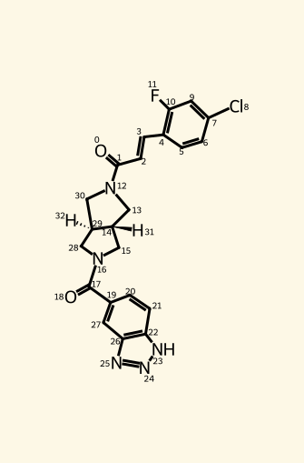 O=C(/C=C/c1ccc(Cl)cc1F)N1C[C@@H]2CN(C(=O)c3ccc4[nH]nnc4c3)C[C@H]2C1